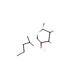 CCCC(C)(C)[C@@H]1O[C@@H](C)C(O)C(O)C1O